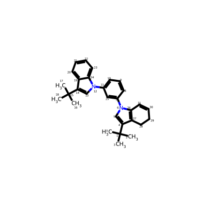 CC(C)(C)c1cn(-c2cccc(-n3cc(C(C)(C)C)c4ccccc43)c2)c2c1CCC=C2